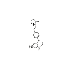 C[C@@H]1CCCN1CCc1ccc(C2CCC[C@H]3CNCC23)cc1